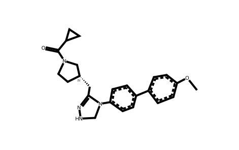 COc1ccc(-c2ccc(N3CNN=C3C[C@@H]3CCN(C(=O)C4CC4)C3)cc2)cc1